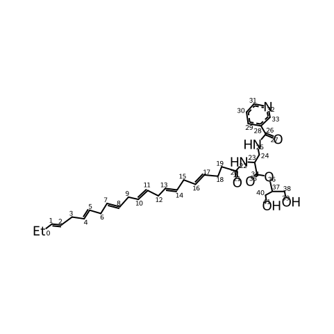 CCC=CCC=CCC=CCC=CCC=CCC=CCCC(=O)NC(CNC(=O)c1cccnc1)C(=O)OC(CO)CO